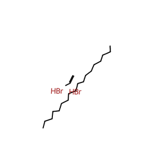 Br.Br.C=CC.CCCCCCCCCCCCCCCCCC